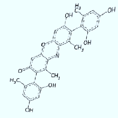 Cc1cc(O)cc(O)c1-c1c(O)cc2oc3cc(=O)c(-c4c(C)cc(O)cc4O)c(C)c-3nc2c1C